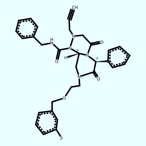 C#CCN1CC(=O)N2[C@@H](c3ccccc3)C(=O)N(CCOCc3cccc(F)c3)C[C@@H]2N1C(=O)NCc1ccccc1